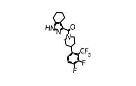 O=C(c1n[nH]c2c1CCCC2)N1CCC(c2ccc(F)c(F)c2C(F)(F)F)CC1